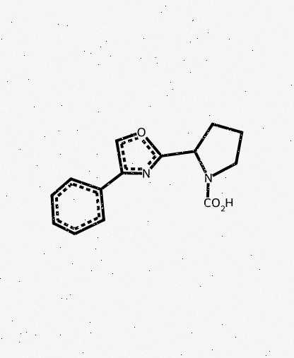 O=C(O)N1CCCC1c1nc(-c2ccccc2)co1